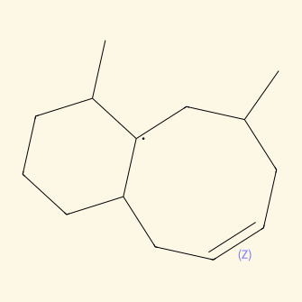 CC1C/C=C\CC2CCCC(C)[C]2C1